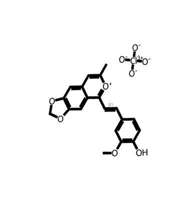 COc1cc(/C=C/c2[o+]c(C)cc3cc4c(cc23)OCO4)ccc1O.[O-][Cl+3]([O-])([O-])[O-]